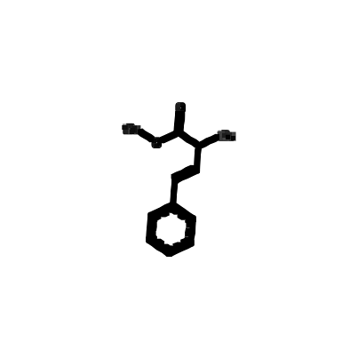 CC(C)(C)OC(=O)C(C=Cc1ccccc1)C(C)(C)C